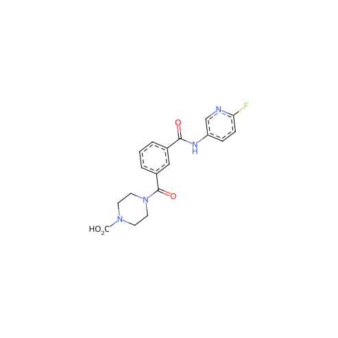 O=C(Nc1ccc(F)nc1)c1cccc(C(=O)N2CCN(C(=O)O)CC2)c1